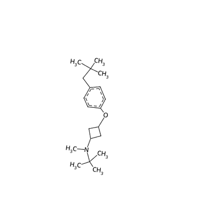 CN(C1CC(Oc2ccc(CC(C)(C)C)cc2)C1)C(C)(C)C